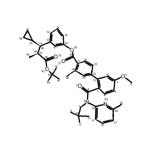 COc1ccc(C(=O)N(CC(C)(C)C)c2cccc(C)n2)c(-c2ccc(C(=O)Oc3cccc([C@H](C4CC4)[C@H](C)C(=O)OC(C)(C)C)c3)c(C)c2)c1